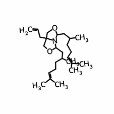 C=CCC12COC(CC(C)CCC=C(C)C)N1C(CC(C)CCC=C(C)C)OC2